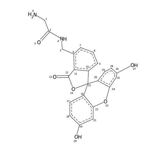 NCC(=O)NCc1cccc2c1C(=O)OC21c2ccc(O)cc2Oc2cc(O)ccc21